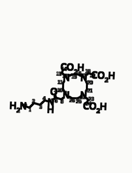 NCCCCNC(=O)CN1CCN(CC(=O)O)CCN(CC(=O)O)CCN(CC(=O)O)CC1